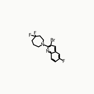 Fc1ccc2nc(N3CCCC(F)(F)CC3)c(Br)cc2c1